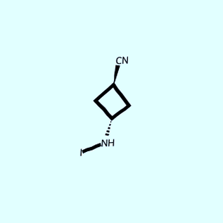 N#C[C@H]1C[C@H](NI)C1